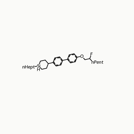 CCCCCCC[SiH]1CCC(c2ccc(-c3ccc(OCC(F)CCCCC)cc3)cc2)CC1